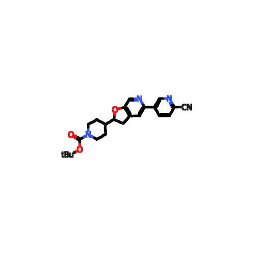 CC(C)(C)OC(=O)N1CCC(C2Cc3cc(-c4ccc(C#N)nc4)ncc3O2)CC1